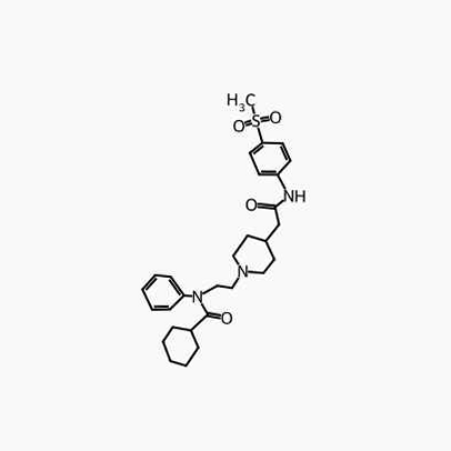 CS(=O)(=O)c1ccc(NC(=O)CC2CCN(CCN(C(=O)C3CCCCC3)c3ccccc3)CC2)cc1